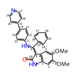 COc1cc2c(cc1OC)/C(=C(/Nc1ccc(-c3ccncc3)cc1)c1ccccc1)C(=O)N2